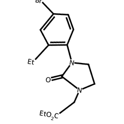 CCOC(=O)CN1CCN(c2ccc(Br)cc2CC)C1=O